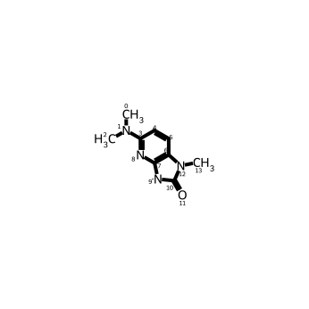 CN(C)c1ccc2c(n1)[N]C(=O)N2C